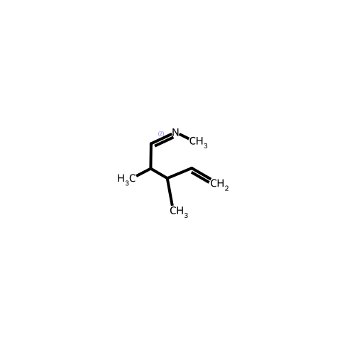 C=CC(C)C(C)/C=N\C